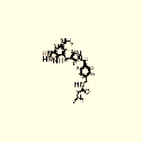 CN(C)CC(=O)NCc1ccc(Cn2cc(Cc3cc(N)nc4c3NNN4)cn2)cc1